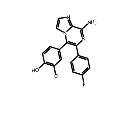 Nc1nc(-c2ccc(F)cc2)c(-c2ccc(O)c(Cl)c2)n2ccnc12